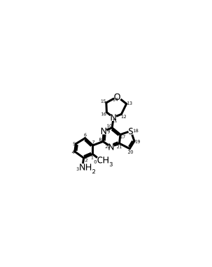 Cc1c(N)cccc1-c1nc(N2CCOCC2)c2sccc2n1